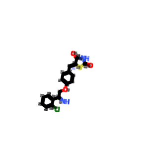 N=C(COc1ccc(/C=C2\SC(=O)NC2=O)cc1)c1ccccc1Cl